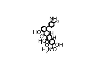 Cc1ccc(-c2ccc(O)c3c2C[C@H]2C[C@H]4CC(O)=C(C(N)=O)C(=O)[C@@]4(O)C(O)=C2C3=O)cc1N